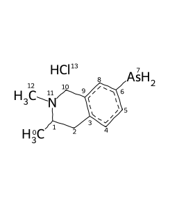 CC1Cc2ccc([AsH2])cc2CN1C.Cl